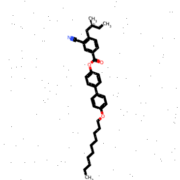 CCCCCCCCCCOc1ccc(-c2ccc(OC(=O)c3ccc(C[C@@H](C)CC)c(C#N)c3)cc2)cc1